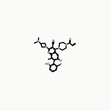 C=CC(=O)N1CCN(c2c(C#N)c(N3CC(N(C)C)C3)nc3c(C)c(-c4c(O)cccc4F)c(Cl)cc23)CC1